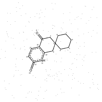 O=C1CC2(CCCCC2)Cc2[nH]c(=O)ccc21